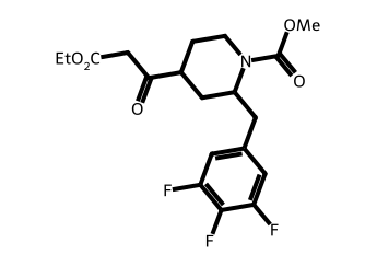 CCOC(=O)CC(=O)C1CCN(C(=O)OC)C(Cc2cc(F)c(F)c(F)c2)C1